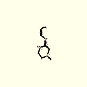 C/C=C\N=C1\CN(C)CCN1